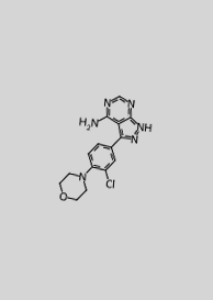 Nc1ncnc2[nH]nc(-c3ccc(N4CCOCC4)c(Cl)c3)c12